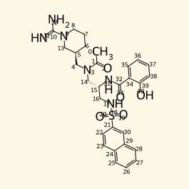 CC(=O)N(C[C@@H]1CCCN(C(=N)N)C1)C[C@@H](CNS(=O)(=O)c1ccc2ccccc2c1)NC(=O)c1ccccc1O